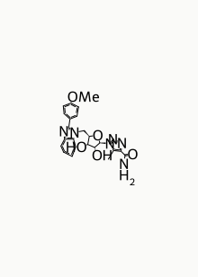 COc1ccc(-c2nc3ccccc3n2C[C@H]2O[C@@H](n3nnc(C(N)=O)c3C)[C@H](O)[C@@H]2O)cc1